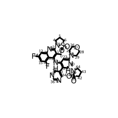 Cc1c(N2CCCS2(=O)=O)nc2cc(F)cc(F)c2c1Nc1cc(N2CCOCC2)ncc1-c1cncnc1.O=S1(=O)CCCN1